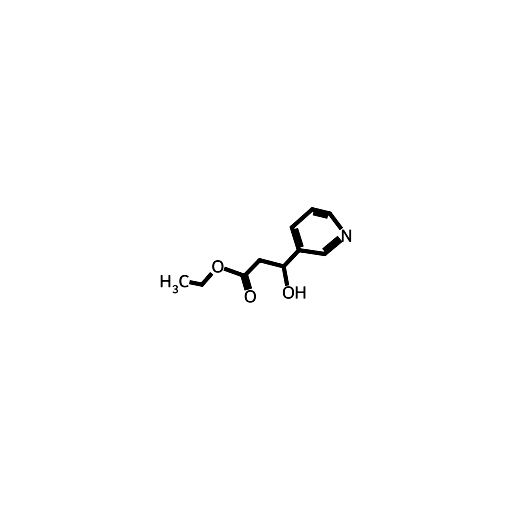 CCOC(=O)CC(O)c1cccnc1